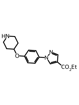 CCOC(=O)c1cnn(-c2ccc(OC3CCNCC3)cc2)c1